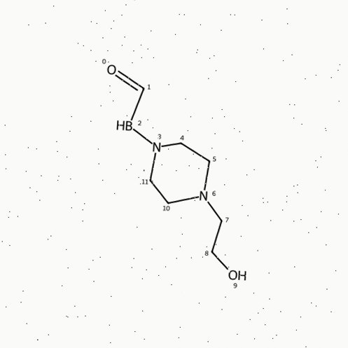 O=CBN1CCN(CCO)CC1